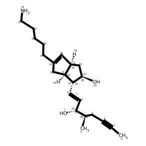 CC#CC[C@@H](C)[C@H](O)/C=C/[C@@H]1[C@H]2CC(CCCCCN)=C[C@H]2C[C@H]1O